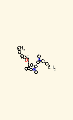 C=CC1=CCC(c2ccc3c(c2)C=CC(OC(CC)CCCCC2(c4ccccc4)c4ccccc4-c4ccc(N(C5=CCC(c6ccc7c(c6)c6c(n7C7C=CC=CC7)=CCC(C7=CCC(C=C)C=C7)C=6)C=C5)c5ccccc5)cc42)C3)C=C1